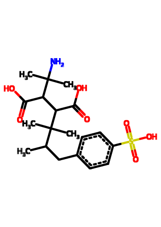 CC(Cc1ccc(S(=O)(=O)O)cc1)C(C)(C)C(C(=O)O)C(C(=O)O)C(C)(C)N